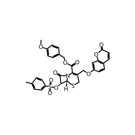 COc1ccc(COC(=O)C2=C(COc3ccc4ccc(=O)oc4c3)CS[C@@H]3[C@@H](OS(=O)(=O)c4ccc(C)cc4)C(=O)N23)cc1